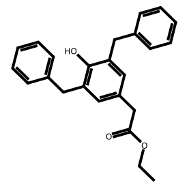 CCOC(=O)Cc1cc(Cc2ccccc2)c(O)c(Cc2ccccc2)c1